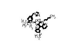 C=CCCCn1c(=O)c(NC(=O)Nc2cc(Cn3ccnc3)ccc2C(C)(C)C)c(-c2cccc(OC)c2)c2cccnc21